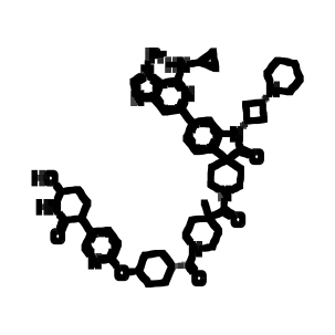 CC(C)n1cnc2cc(-c3ccc4c(c3)N([C@H]3C[C@@H](N5CCCCC5)C3)C(=O)C43CCN(C(=O)C4(C)CCN(C(=O)[C@H]5CC[C@H](Oc6ccc(C7CCC(O)NC7=O)cn6)CC5)CC4)CC3)nc(NC3CC3)c21